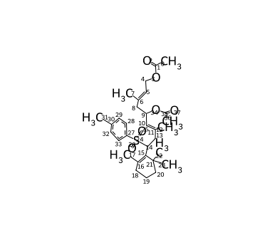 CC(=O)OCC=C(C)CC(C=C(C)CC(C1=C(C)CCCC1(C)C)S(=O)(=O)c1ccc(C)cc1)OC(C)=O